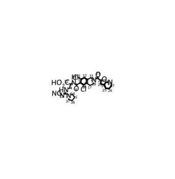 N#C/N=C(\NC[C@H](NC(=O)c1c(Cl)cc2c(c1Cl)CCN(C(=O)c1cc3cccnc3o1)C2)C(=O)O)N1CCCC1